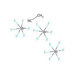 CC#N.[F][Sb-]([F])([F])([F])([F])[F].[F][Sb-]([F])([F])([F])([F])[F].[F][Sb-]([F])([F])([F])([F])[F]